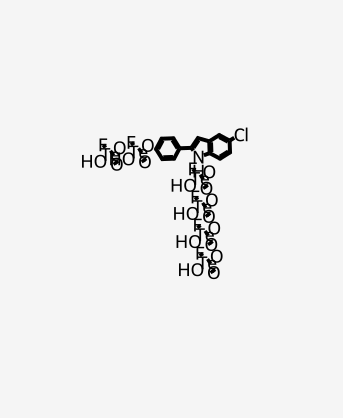 Clc1ccc2[nH]c(-c3ccccc3)cc2c1.O=[Te](=O)(O)F.O=[Te](=O)(O)F.O=[Te](=O)(O)F.O=[Te](=O)(O)F.O=[Te](=O)(O)F.O=[Te](=O)(O)F